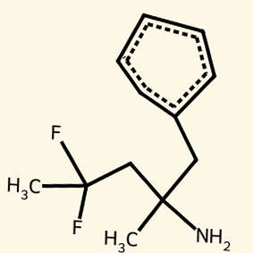 CC(F)(F)CC(C)(N)Cc1ccccc1